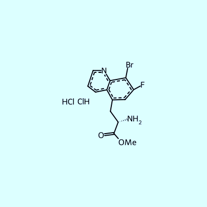 COC(=O)[C@@H](N)Cc1cc(F)c(Br)c2ncccc12.Cl.Cl